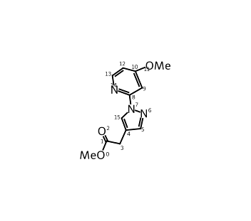 COC(=O)Cc1cnn(-c2cc(OC)ccn2)c1